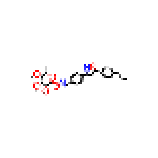 CCCc1ccc(-c2cc(-c3ccc(/C=N/O[C@@H]4O[C@@H](C)[C@H](OC)[C@@H](OC)[C@H]4OC)cc3)no2)cc1